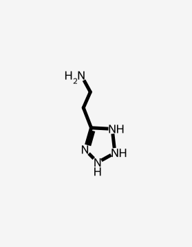 NCCC1=NNNN1